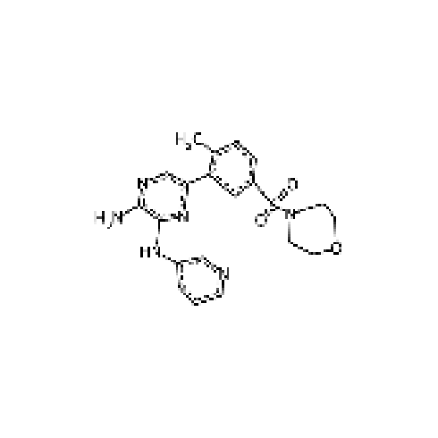 Cc1ccc(S(=O)(=O)N2CCOCC2)cc1-c1cnc(N)c(Nc2cccnc2)n1